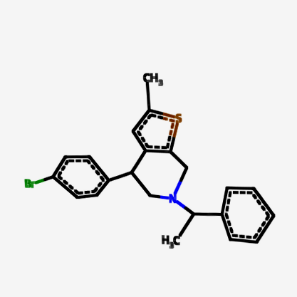 Cc1cc2c(s1)CN(C(C)c1ccccc1)CC2c1ccc(Br)cc1